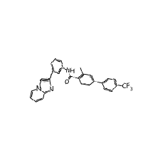 Cc1cc(-c2ccc(C(F)(F)F)cc2)ccc1C(=O)Nc1cccc(-c2cn3ccccc3n2)c1